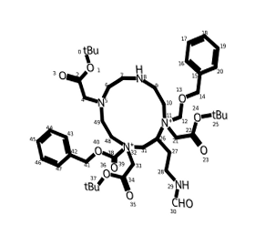 CC(C)(C)OC(=O)CN1CCNCC[N+](COCc2ccccc2)(CC(=O)OC(C)(C)C)C(CCNC=O)C[N+](CC(=O)OC(C)(C)C)(C(=O)OCc2ccccc2)CC1